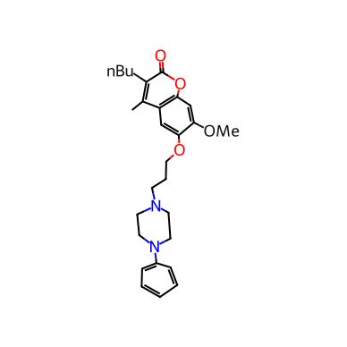 CCCCc1c(C)c2cc(OCCCN3CCN(c4ccccc4)CC3)c(OC)cc2oc1=O